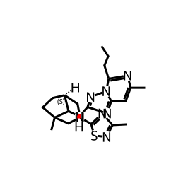 CCCc1nc(C)cc2nc(NC3[C@H]4CCC3(C)CN(c3nc(C)ns3)C4)nn12